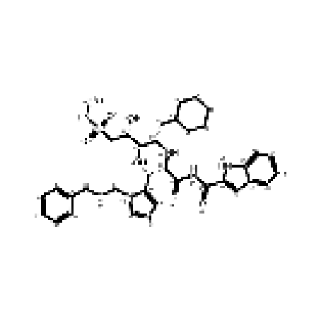 CCCCNS(=O)(=O)C[C@H](O)[C@H](O)[C@H](CC1CCCCC1)N[C@@H](Cc1cncn1COCc1ccccc1)C(=O)NC(=O)c1cc2ccccc2[nH]1